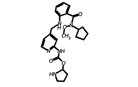 CON(C(=O)c1ccccc1NCc1ccnc(NC(=O)OC2CCCN2)c1)C1CCCC1